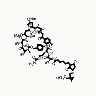 CC[C@H](C)[C@@H]([C@@H](CC(=O)N1C[C@H](OC)C[C@H]1[C@H](OC)[C@@H](C)C(=O)NCC(=O)c1ccc(F)cc1)OC)N(C)C(=O)[C@@H](NC(=O)[C@H](C(C)C)N(C)C(=O)OCc1ccc(NC(=O)[C@H](CCCNC(N)=O)NC(=O)[C@@H](NC(=O)CCCCCC2C(=O)CC(SCC3(CC(=O)O)CC3)C2=O)C(C)C)cc1)C(C)C